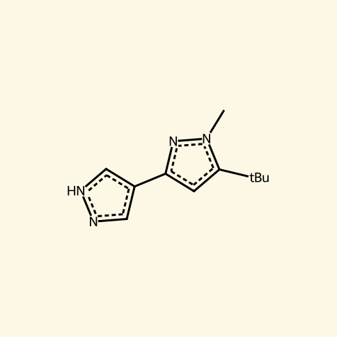 Cn1nc(-c2cn[nH]c2)cc1C(C)(C)C